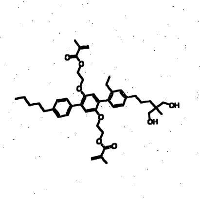 C=C(C)C(=O)OCCOc1cc(-c2ccc(CCCC(C)(CO)CO)cc2CC)c(OCCOC(=O)C(=C)C)cc1-c1ccc(CCCCC)cc1